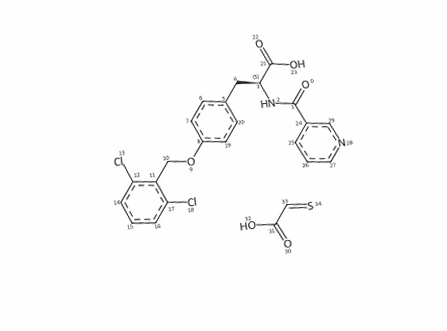 O=C(N[C@@H](Cc1ccc(OCc2c(Cl)cccc2Cl)cc1)C(=O)O)c1cccnc1.O=C(O)C=S